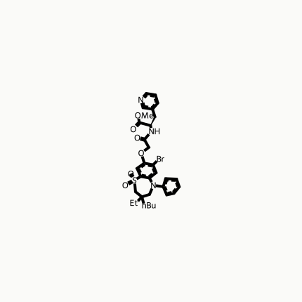 CCCCC1(CC)CN(c2ccccc2)c2cc(Br)c(OCC(=O)N[C@H](Cc3cccnc3)C(=O)OC)cc2S(=O)(=O)C1